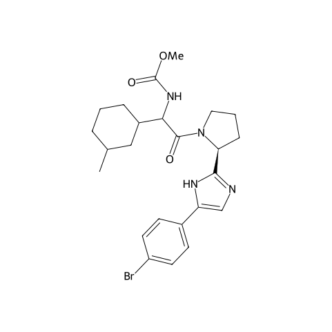 COC(=O)NC(C(=O)N1CCC[C@H]1c1ncc(-c2ccc(Br)cc2)[nH]1)C1CCCC(C)C1